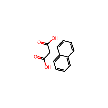 O=C(O)CC(=O)O.c1ccc2ccccc2c1